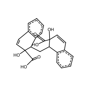 O=C(O)C1(O)C=Cc2ccccc2C1CC1c2ccccc2C=CC1(O)C(=O)O